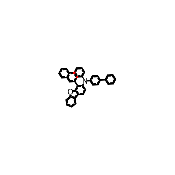 c1ccc(-c2ccc(N(c3ccccc3)c3ccc4c(oc5ccccc54)c3-c3ccc4ccccc4c3)cc2)cc1